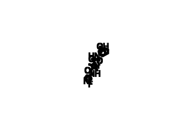 Cc1c(C(=O)Nc2ccnc(F)c2)c(C)n(C)c1C(=O)C(=O)NC12CC3CCC(C(O)C1)C(C3)C2